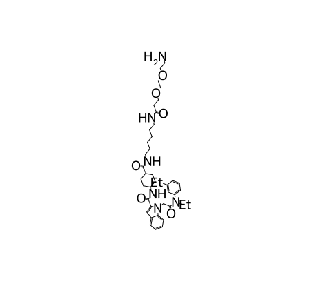 CCc1cccc(N(CC)C(=O)Cn2c(C(=O)N[C@H]3CC[C@H](C(=O)NCCCCCCNC(=O)CCOCCOCCN)CC3)cc3ccccc32)c1